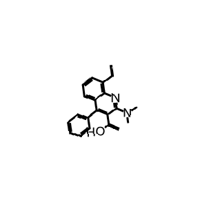 C=C(O)c1c(N(C)C)nc2c(CC)cccc2c1-c1ccccc1